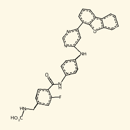 O=C(O)NCc1ccc(C(=O)Nc2ccc(Nc3cc(-c4cccc5c4oc4ccccc45)ncn3)cc2)c(F)c1